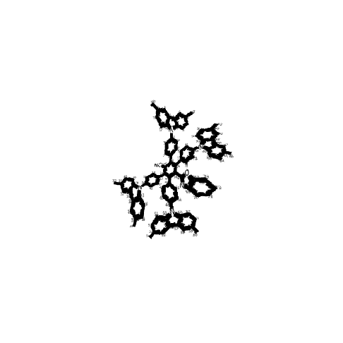 Cc1ccc2c(c1)c1cc(C)ccc1n2-c1ccc(-c2c(C#N)c(-c3ccc(-n4c5ccc(C)cc5c5cc(C)ccc54)cc3)c(-c3ccc(-n4c5ccc(C)cc5c5cc(C)ccc54)cc3)c(-c3nc4ccccc4o3)c2-c2ccc(-n3c4ccc(C)cc4c4cc(C)ccc43)cc2)cc1